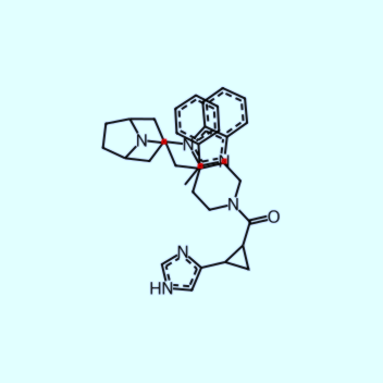 Cc1nc2ccccc2n1C1CC2CCC(C1)N2CCC1(c2ccccc2)CCN(C(=O)C2CC2c2c[nH]cn2)CC1